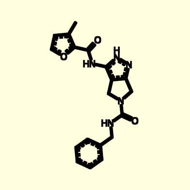 Cc1ccoc1C(=O)Nc1[nH]nc2c1CN(C(=O)NCc1ccccc1)C2